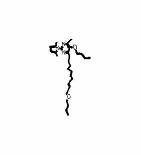 CCCCOCCCCCCCCCCc1nc(-n2c(C)ccc2C)nc(C)c1OCCCC